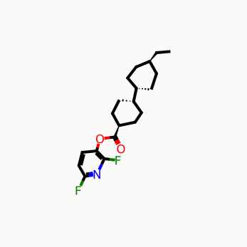 CC[C@H]1CC[C@H]([C@H]2CC[C@H](C(=O)Oc3ccc(F)nc3F)CC2)CC1